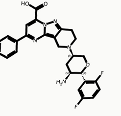 N[C@H]1C[C@@H](N2CCc3nn4c(C(=O)O)cc(-c5ccccc5)nc4c3C2)CO[C@@H]1c1cc(F)ccc1F